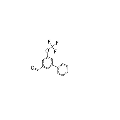 O=Cc1cc(OC(F)(F)F)cc(-c2ccccc2)c1